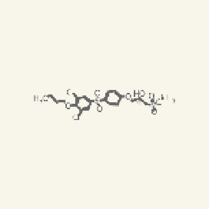 CCCCOc1c(Cl)cc(S(=O)(=O)c2ccc(OC[C@H](O)CS(=O)(=O)CC)cc2)cc1Cl